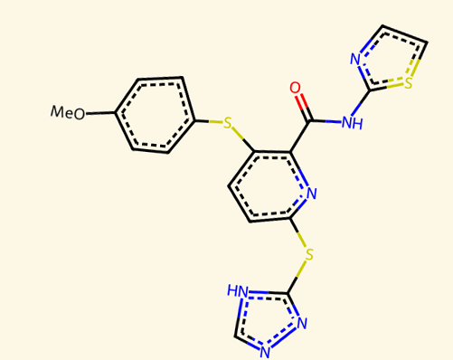 COc1ccc(Sc2ccc(Sc3nnc[nH]3)nc2C(=O)Nc2nccs2)cc1